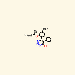 CCCCCC(CC)Oc1cc(OC)ccc1-c1nnnc(O)c1-c1ccccc1